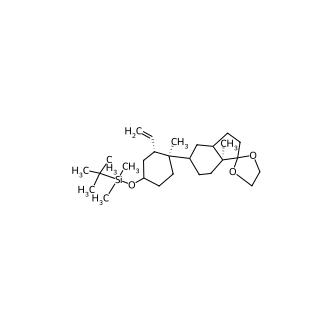 C=C[C@H]1CC(O[Si](C)(C)C(C)(C)C)CC[C@]1(C)C1CC[C@@]2(C)C(CCC23OCCO3)C1